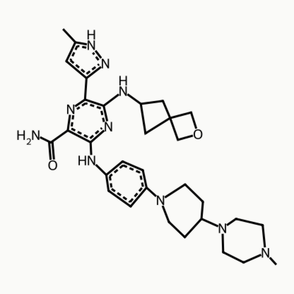 Cc1cc(-c2nc(C(N)=O)c(Nc3ccc(N4CCC(N5CCN(C)CC5)CC4)cc3)nc2NC2CC3(COC3)C2)n[nH]1